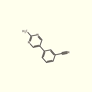 Cc1ncc(-c2cccc(C#N)c2)cn1